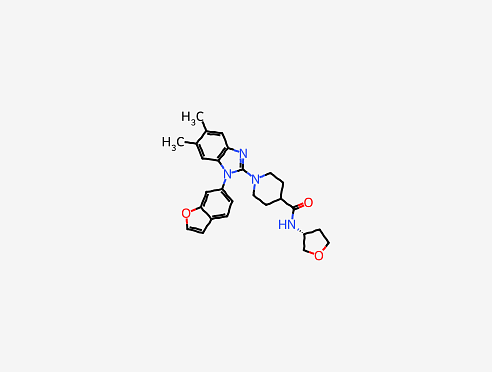 Cc1cc2nc(N3CCC(C(=O)N[C@@H]4CCOC4)CC3)n(-c3ccc4ccoc4c3)c2cc1C